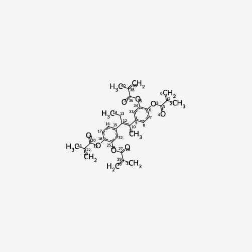 C=C(C)C(=O)Oc1ccc(/C(C)=C(\CC)c2ccc(OC(=O)C(=C)C)c(OC(=O)C(=C)C)c2)cc1OC(=O)C(=C)C